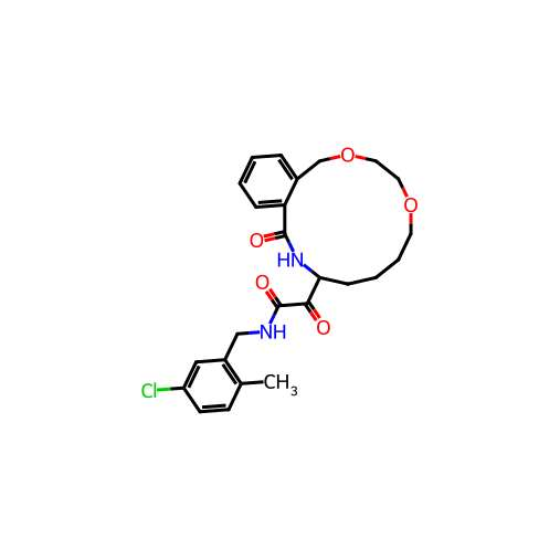 Cc1ccc(Cl)cc1CNC(=O)C(=O)C1CCCCOCCOCc2ccccc2C(=O)N1